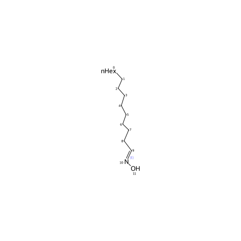 CCCCCCCCCCCCCC/C=N/O